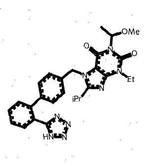 CCn1c(=O)n(C(C)OC)c(=O)c2c1nc(C(C)C)n2Cc1ccc(-c2ccccc2-c2nnn[nH]2)cc1